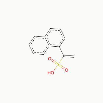 C=C(c1cccc2ccccc12)S(=O)(=O)O